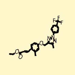 CCOC(=O)/C=C/c1ccc(OCc2nn(-c3ccc(C(F)(F)F)cc3)nc2C)cc1C